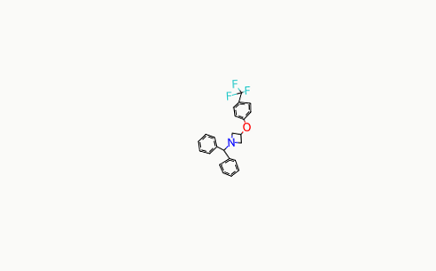 FC(F)(F)c1ccc(OC2CN(C(c3ccccc3)c3ccccc3)C2)cc1